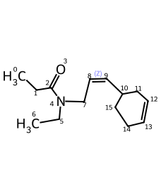 CCC(=O)N(CC)C/C=C\C1CC=CCC1